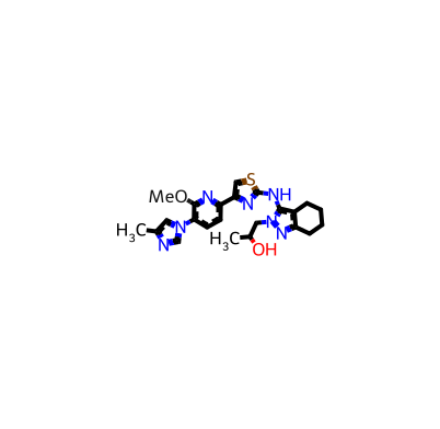 COc1nc(-c2csc(Nc3c4c(nn3CC(C)O)CCCC4)n2)ccc1-n1cnc(C)c1